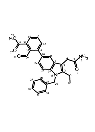 CCc1c(CC(N)=O)c2cc(-c3cccc(C(=O)O)c3C=O)ccc2n1Cc1ccccc1